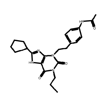 CCCn1c(=O)c2[nH]c(C3CCCC3)nc2n(CCc2ccc(NC(C)=O)cc2)c1=O